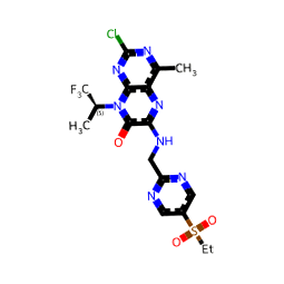 CCS(=O)(=O)c1cnc(CNc2nc3c(C)nc(Cl)nc3n([C@@H](C)C(F)(F)F)c2=O)nc1